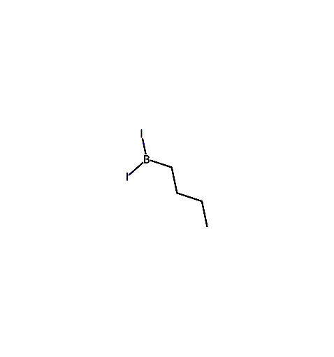 CCCCB(I)I